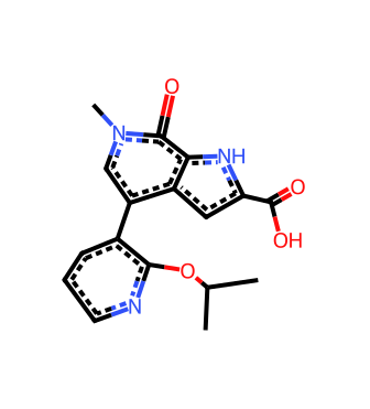 CC(C)Oc1ncccc1-c1cn(C)c(=O)c2[nH]c(C(=O)O)cc12